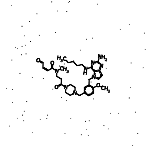 CCCCCNc1nc(N)nc2ccn(Cc3cc(CN4CCN(C(=O)CCN(C)C(=O)/C=C\C=O)CC4)ccc3OC)c12